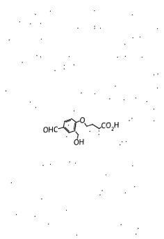 O=Cc1ccc(OCCCC(=O)O)c(CO)c1